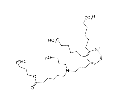 CCCCCCCCCCCCCOC(=O)CCCCCN(CCCO)CCCC1=CC=CNC(CCCCCC(=O)O)=C1CCCCCC(=O)O